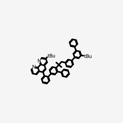 CC(C)(C)c1cc(-c2ccccc2)cc(-c2cccc(CC(C)(C)c3ccc(-c4ccccc4-c4cc5cc(C(C)(C)C)cnc5c5ncccc45)cc3-c3ccccc3)c2)c1